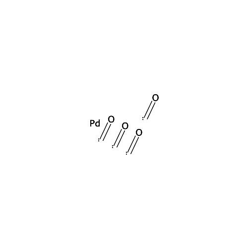 [C]=O.[C]=O.[C]=O.[C]=O.[Pd]